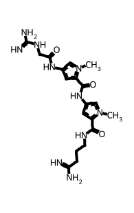 Cn1cc(NC(=O)c2cc(NC(=O)CNC(=N)N)cn2C)cc1C(=O)NCCCC(=N)N